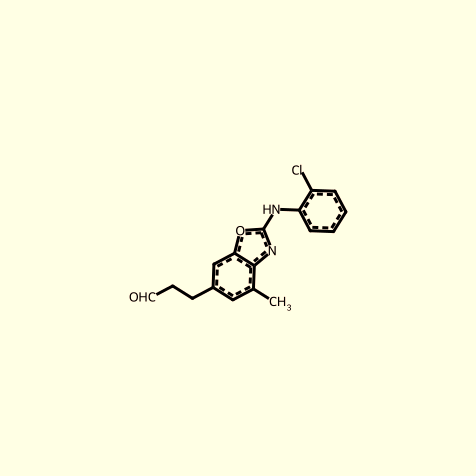 Cc1cc(CCC=O)cc2oc(Nc3ccccc3Cl)nc12